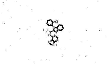 C[C@H](Nc1ncnc2[nH]cnc12)c1nc2ccccc2n1-c1ccccc1Cl